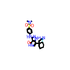 CN(C)S(=O)(=O)c1ccc(Nc2n[nH]c3c(C4(CC#N)CCCCC4F)c[nH]c(=O)c23)cc1